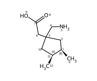 C[C@@H]1CC(CN)(CC(=O)O)C[C@@H]1C